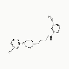 N#Cc1cccc(NCCCCN2CCN(c3cccc(Cl)c3)CC2)c1